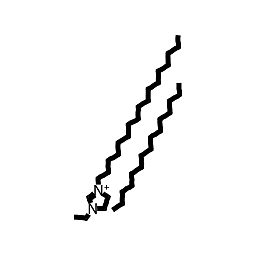 CCCCCCCCCCCCCCC.CCCCCCCCCCCCCCCCC[N+]1=CN(CC)CC1